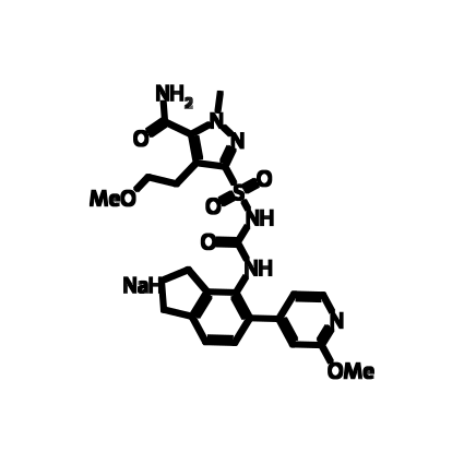 COCCc1c(S(=O)(=O)NC(=O)Nc2c(-c3ccnc(OC)c3)ccc3c2CCC3)nn(C)c1C(N)=O.[NaH]